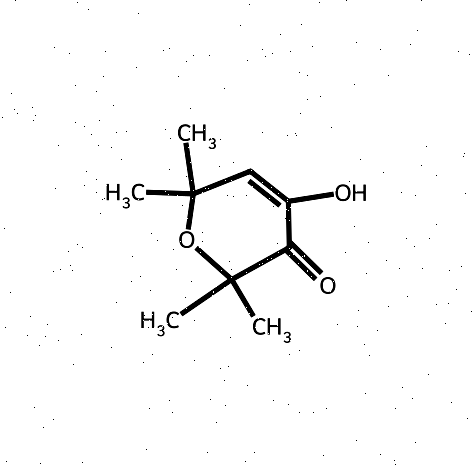 CC1(C)C=C(O)C(=O)C(C)(C)O1